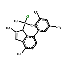 CC1=Cc2c(C)ccc(-c3cc(C)cc(C)c3)c2C1[Si](C)(C)Cl